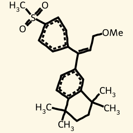 COCC=C(c1ccc(S(C)(=O)=O)cc1)c1ccc2c(c1)C(C)(C)CCC2(C)C